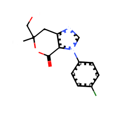 CC1(CO)Cc2ncn(-c3ccc(Cl)cc3)c2C(=O)O1